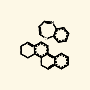 C1=COc2ccccc2N=C1.C1=c2ccc3c(c2CCC1)CC=c1ccccc1=3